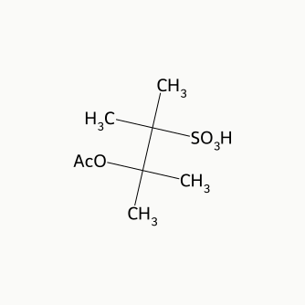 CC(=O)OC(C)(C)C(C)(C)S(=O)(=O)O